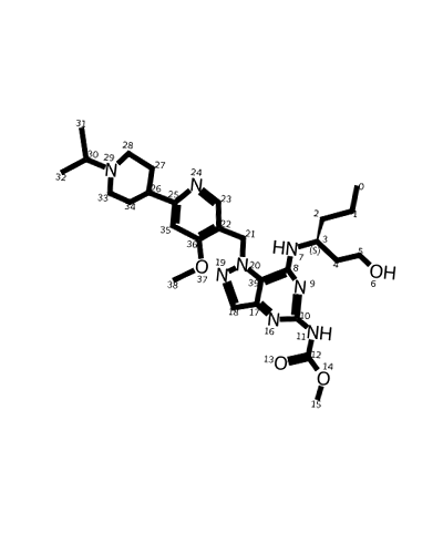 CCC[C@@H](CCO)Nc1nc(NC(=O)OC)nc2cnn(Cc3cnc(C4CCN(C(C)C)CC4)cc3OC)c12